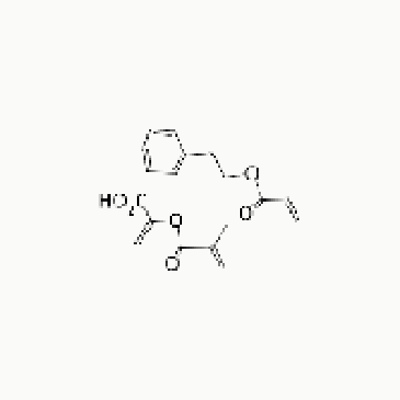 C=C(C)C(=O)OC(=C)C(=O)O.C=CC(=O)OCCc1ccccc1